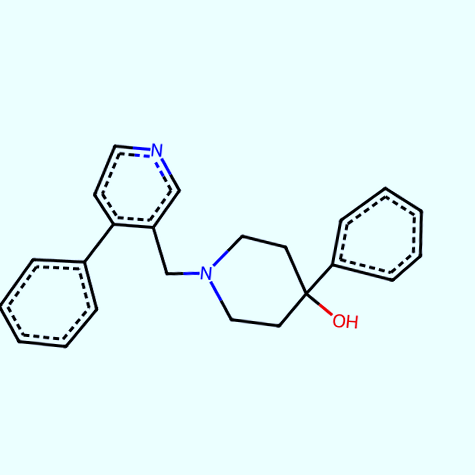 OC1(c2ccccc2)CCN(Cc2cnccc2-c2ccccc2)CC1